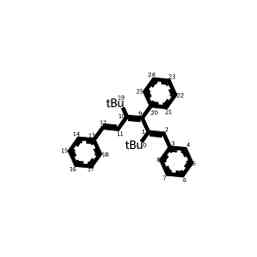 CC(C)(C)C(=Cc1ccccc1)C(=C(C=Cc1ccccc1)C(C)(C)C)c1ccccc1